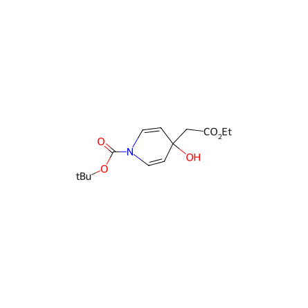 CCOC(=O)CC1(O)C=CN(C(=O)OC(C)(C)C)C=C1